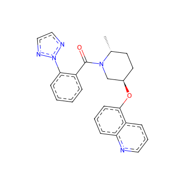 C[C@@H]1CC[C@@H](Oc2cccc3ncccc23)CN1C(=O)c1ccccc1-n1nccn1